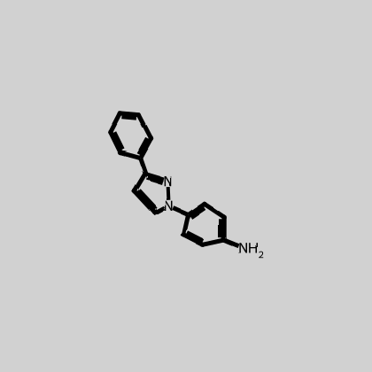 Nc1ccc(-n2ccc(-c3ccccc3)n2)cc1